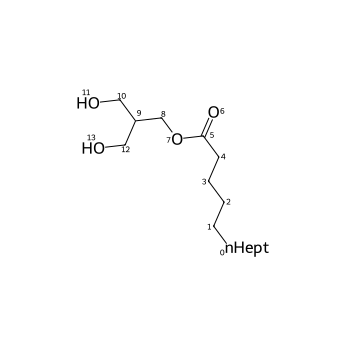 CCCCCCCCCCCC(=O)OCC(CO)CO